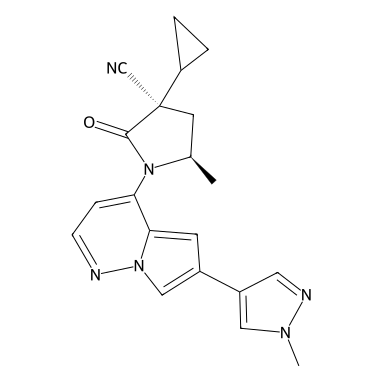 C[C@@H]1C[C@](C#N)(C2CC2)C(=O)N1c1ccnn2cc(-c3cnn(C)c3)cc12